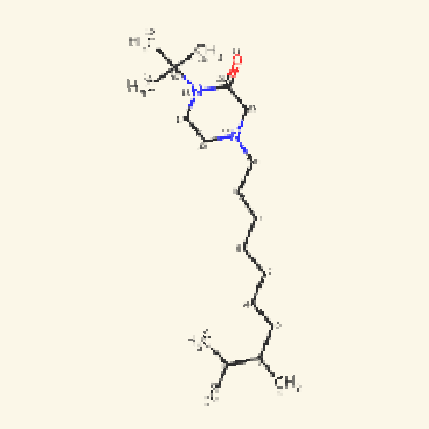 CC(C)C(C)CCCCCCCN1CCN(C(C)(C)C)C(=O)C1